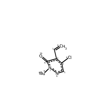 C=Cc1c(Cl)cnn(C(C)(C)C)c1=O